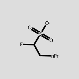 CCCCC(F)S([O])(=O)=O